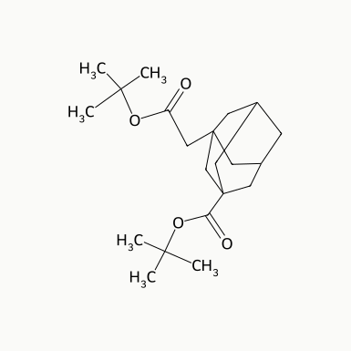 CC(C)(C)OC(=O)CC12CC3CC(C1)CC(C(=O)OC(C)(C)C)(C3)C2